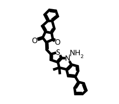 CC1(C)c2cc(-c3ccccc3)ccc2N(N)c2sc(C=C3C(=O)c4cc5ccccc5cc4C3=O)cc21